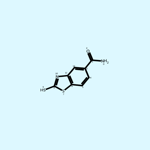 NC(=O)c1ccc2sc(S)nc2c1